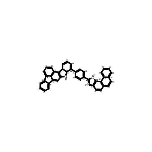 C1=CC2c3c(cc4c5c(cccc35)-c3ccccc3-4)OC2C(c2ccc(-c3nc4ccc5ccc6ccccc6c5c4o3)cc2)=C1